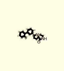 O=C1NCC[C@@]12CC[C@@H](c1cccc(-c3ccccc3F)c1)N2